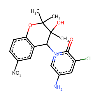 CC1(C)Oc2ccc([N+](=O)[O-])cc2C(n2cc(N)cc(Cl)c2=O)C1(C)O